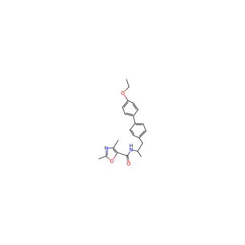 CCOc1ccc(-c2ccc(CC(C)NC(=O)c3oc(C)nc3C)cc2)cc1